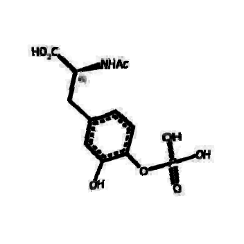 CC(=O)N[C@@H](Cc1ccc(OP(=O)(O)O)c(O)c1)C(=O)O